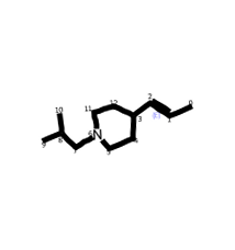 C/C=C/C1CCN(CC(C)C)CC1